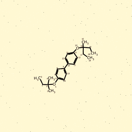 CCC(C)(C)Oc1ccc(-c2ccc(OC(C)(CC)CC)cc2)cc1